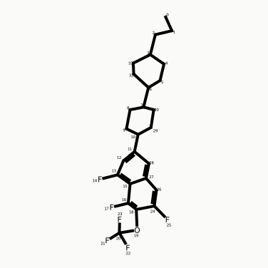 CCCC1CCC(C2CCC(c3cc(F)c4c(F)c(OC(F)(F)F)c(F)cc4c3)CC2)CC1